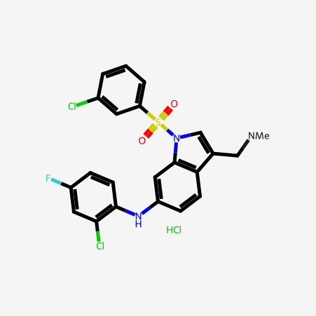 CNCc1cn(S(=O)(=O)c2cccc(Cl)c2)c2cc(Nc3ccc(F)cc3Cl)ccc12.Cl